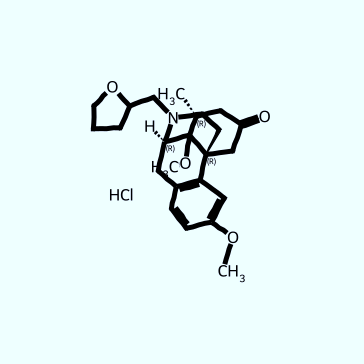 COc1ccc2c(c1)[C@]13CCN(CC4CCCO4)[C@H](C2)C1(OC)[C@H](C)CC(=O)C3.Cl